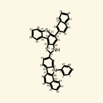 c1ccc(-n2c3cc(C4Nc5cc(-c6ccc7ccccc7c6)c6sc7ccccc7c6c5S4)ccc3c3ccc4ccccc4c32)cc1